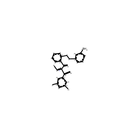 Bc1cccc(CCc2ccccc2C(=C)/C(=C\C)C(=C)c2cc(C)cc(C)c2)c1